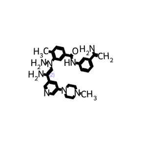 C=C(N)c1cccc(NC(=O)c2ccc(C)c(N(N)/C=C(\N)c3cncc(N4CCN(C)CC4)c3)c2)c1